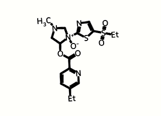 CCc1ccc(C(=O)OC2CN(C)C[N+]2([O-])c2ncc(S(=O)(=O)CC)s2)nc1